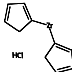 C1=CC[C]([Zr][C]2=CC=CC2)=C1.Cl